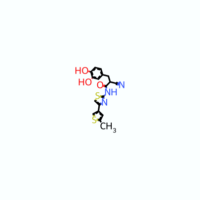 Cc1cc(-c2csc(NC(=O)C(C#N)Cc3ccc(O)c(O)c3)n2)cs1